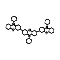 C1CCC(N2C3CCC(C4CCC5C(C4)SC4CCCCC4N5C4CCCCC4)CC3OC3CC(C4CCC5C(C4)SC4CCCCC4N5C4CCCCC4)CCC32)CC1